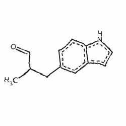 CC(C=O)Cc1ccc2[nH]ccc2c1